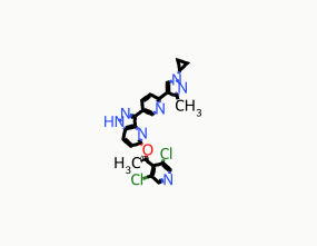 Cc1nn(C2CC2)cc1-c1ccc(-c2n[nH]c3ccc(O[C@H](C)c4c(Cl)cncc4Cl)nc23)cn1